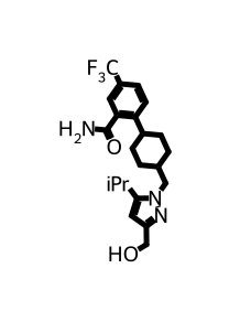 CC(C)c1cc(CO)nn1CC1CCC(c2ccc(C(F)(F)F)cc2C(N)=O)CC1